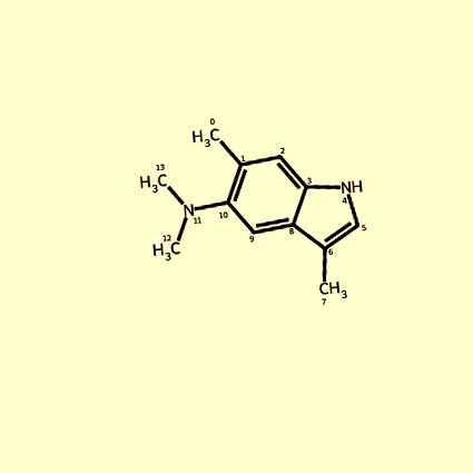 Cc1cc2[nH]cc(C)c2cc1N(C)C